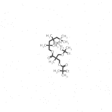 CCC(C)(C)OCC(C)(COC(=O)C(C)(C)CC)C(=O)OCC(C)(C)CC(C)(C)C[PH](C)(C)C